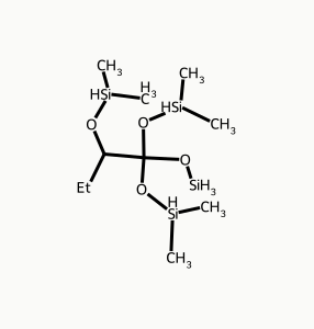 CCC(O[SiH](C)C)C(O[SiH3])(O[SiH](C)C)O[SiH](C)C